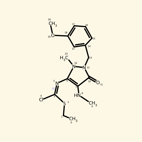 CCS/C(Cl)=N\c1c(NC)c(=O)n(Cc2cccc(OC)c2)n1C